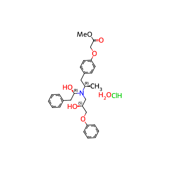 COC(=O)COc1ccc(C[C@@H](C)N(C[C@H](O)COc2ccccc2)[C@H](O)Cc2ccccc2)cc1.Cl.O